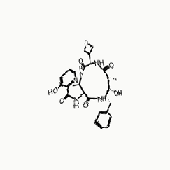 C[C@H]1NC(=O)C(C2COC2)NC(=O)[C@H](C)[C@H](O)[C@H](Cc2ccccc2)NC(=O)[C@H]1NC(=O)c1ncccc1O